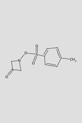 Cc1ccc(S(=O)(=O)ON2CC(=O)C2)cc1